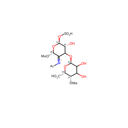 CO[C@@H]1O[C@@H](OS(=O)(=O)O)[C@H](O)C(O[C@@H]2O[C@@H](C(=O)O)[C@@H](OC)C(O)C2O)/C1=N/C(C)=O